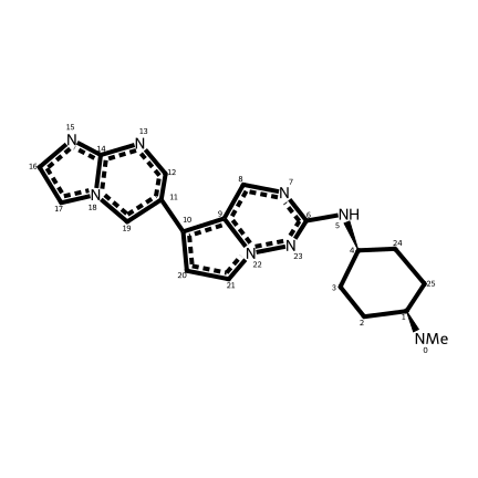 CN[C@H]1CC[C@@H](Nc2ncc3c(-c4cnc5nccn5c4)ccn3n2)CC1